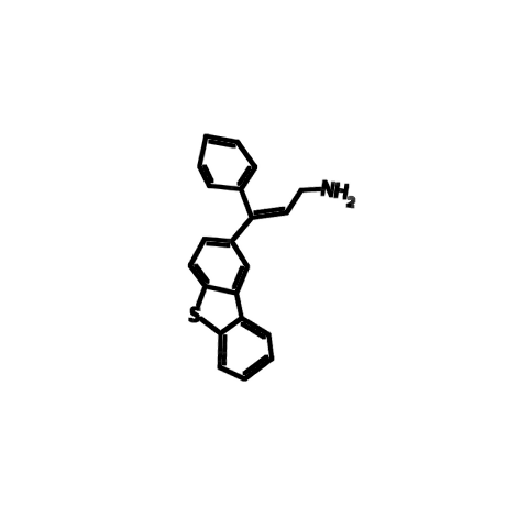 NCC=C(c1ccccc1)c1ccc2sc3ccccc3c2c1